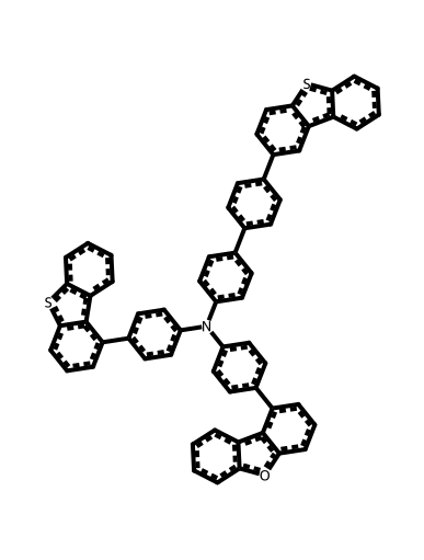 c1ccc2c(c1)oc1cccc(-c3ccc(N(c4ccc(-c5ccc(-c6ccc7sc8ccccc8c7c6)cc5)cc4)c4ccc(-c5cccc6sc7ccccc7c56)cc4)cc3)c12